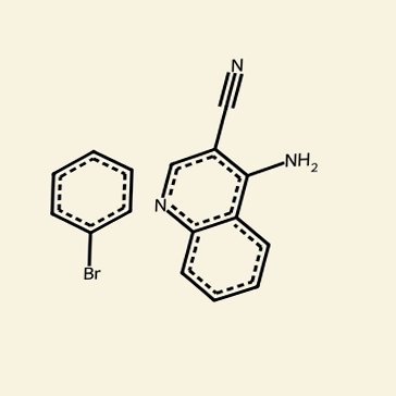 Brc1ccccc1.N#Cc1cnc2ccccc2c1N